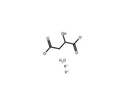 O.O=C([O-])CC(O)C(=O)[O-].[K+].[K+]